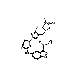 Cc1nn(-c2ccnc(Nc3ccc4[nH]cc(C(=O)C5CC5)c4c3)n2)cc1CN1C[C@@H](O)[C@@H](O)C1